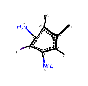 Cc1c(C)c(N)c(I)c(N)c1C